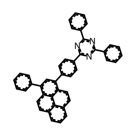 c1ccc(-c2nc(-c3ccccc3)nc(-c3ccc(-c4cc(-c5ccccc5)c5ccc6cccc7ccc4c5c67)cc3)n2)cc1